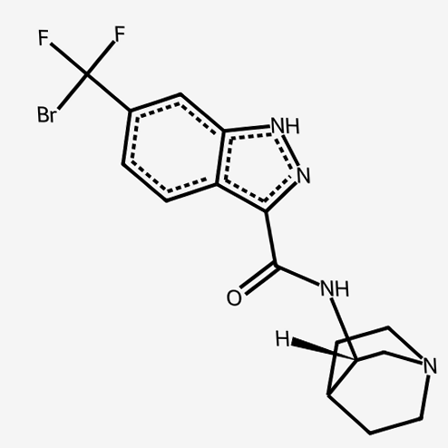 O=C(N[C@@H]1CN2CCC1CC2)c1n[nH]c2cc(C(F)(F)Br)ccc12